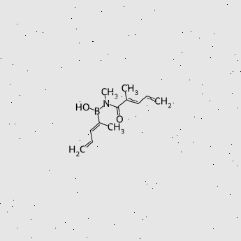 C=C/C=C(\C)B(O)N(C)C(=O)/C(C)=C/C=C